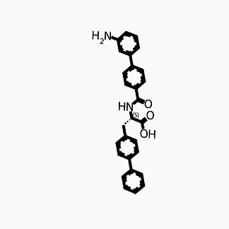 Nc1cccc(-c2ccc(C(=O)N[C@@H](Cc3ccc(-c4ccccc4)cc3)C(=O)O)cc2)c1